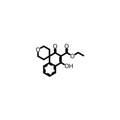 CCOC(=O)C1=C(O)c2ccccc2C2(CCOCC2)C1=O